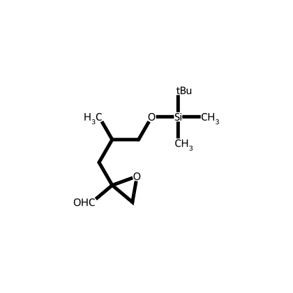 CC(CO[Si](C)(C)C(C)(C)C)CC1(C=O)CO1